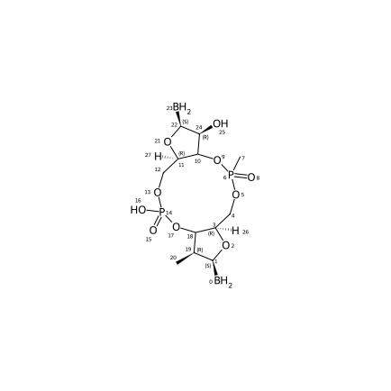 B[C@@H]1O[C@@H]2COP(C)(=O)OC3[C@@H](COP(=O)(O)OC2[C@@H]1C)O[C@@H](B)[C@H]3O